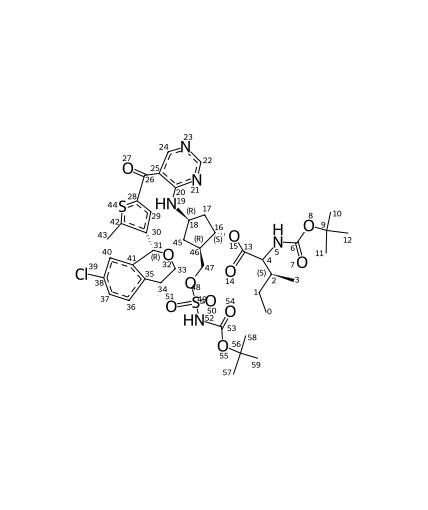 CC[C@H](C)C(NC(=O)OC(C)(C)C)C(=O)O[C@H]1C[C@H](Nc2ncncc2C(=O)c2cc([C@@H]3OCCc4ccc(Cl)cc43)c(C)s2)C[C@@H]1COS(=O)(=O)NC(=O)OC(C)(C)C